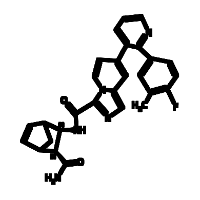 Cc1cc(-c2ncccc2-c2ccn3c(C(=O)N[C@@H]4C5C=CC(C5)[C@@H]4C(N)=O)ncc3c2)ccc1F